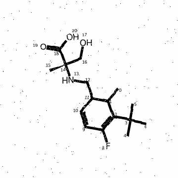 CC1C(C(C)(C)C)=C(F)C=CC1CN[C@@](C)(CO)C(=O)O